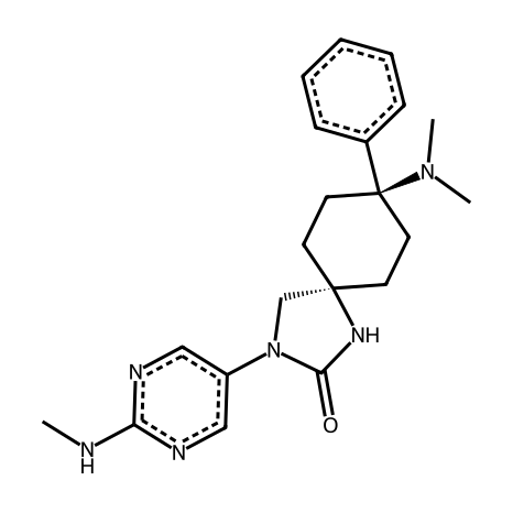 CNc1ncc(N2C[C@]3(CC[C@](c4ccccc4)(N(C)C)CC3)NC2=O)cn1